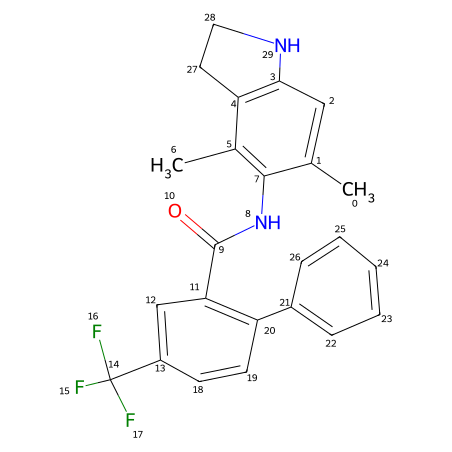 Cc1cc2c(c(C)c1NC(=O)c1cc(C(F)(F)F)ccc1-c1ccccc1)CCN2